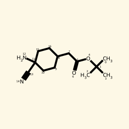 CC(C)(C)OC(=O)CC1CCC(N)(C#N)CC1